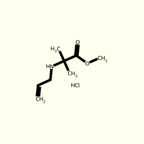 C=CCNC(C)(C)C(=O)OC.Cl